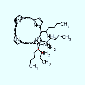 CCCCC(N)c1c(C(N)CCCC)c2c(C(N)CCCC)c3nc(cc4ccc(cc5nc(cc1n2C(N)CCCC)C=C5)[nH]4)C=C3